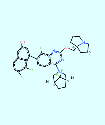 Oc1cc(-c2ccc3c(N4C[C@H]5CC[C@@H](C4)C5(F)F)nc(OC[C@@]45CCCN4C[C@H](F)C5)nc3c2F)c2c(F)c(F)ccc2c1